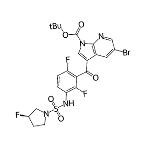 CC(C)(C)OC(=O)n1cc(C(=O)c2c(F)ccc(NS(=O)(=O)N3CC[C@@H](F)C3)c2F)c2cc(Br)cnc21